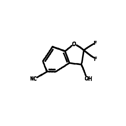 N#Cc1ccc2c(c1)C(O)C(F)(F)O2